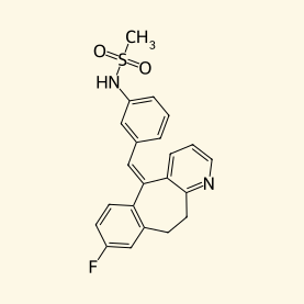 CS(=O)(=O)Nc1cccc(C=C2c3ccc(F)cc3CCc3ncccc32)c1